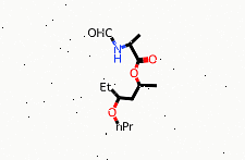 CCCOC(CC)CC(C)OC(=O)C(C)NC=O